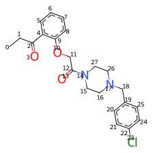 CCC(=O)c1ccccc1OCC(=O)N1CCN(Cc2ccc(Cl)cc2)CC1